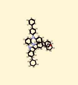 c1ccc(-c2ccc(N(c3ccc(-c4ccccc4)cc3)c3cccc4c3n3c5ccc(C6CCCCC6)cc5c5c6cc(C7CCCCC7)ccc6n4c53)cc2)cc1